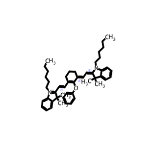 CCCCCCN1/C(=C/C=C2\CCCC(/C=C/C3=[N+](CCCCCC)c4ccccc4C3(C)C)=C2Oc2ccccc2)C(C)(C)c2ccccc21